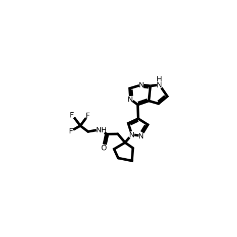 O=C(CC1(n2cc(-c3ncnc4[nH]ccc34)cn2)CCCC1)NCC(F)(F)F